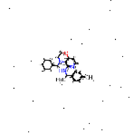 Cc1ccc(C(C)Nc2nccc3c2N(CC2CCCCC2)CCO3)cc1